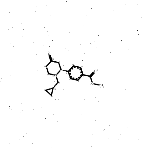 COC(=O)c1ccc([C@@H]2CC(=O)CCN2CC2CC2)cc1